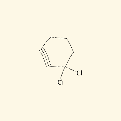 ClC1(Cl)C#CCCC1